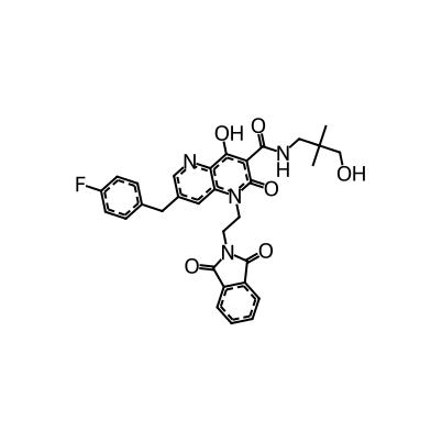 CC(C)(CO)CNC(=O)c1c(O)c2ncc(Cc3ccc(F)cc3)cc2n(CCN2C(=O)c3ccccc3C2=O)c1=O